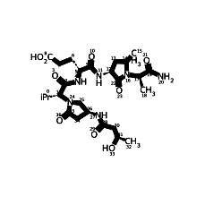 CC(C)[C@H](C(=O)N[C@H](CCC(=O)O)C(=O)N[C@@H]1CC(C)N([C@H](C)C(N)=O)C1=O)N1C[C@@H](NC(=O)C[C@@H](C)O)CC1=O